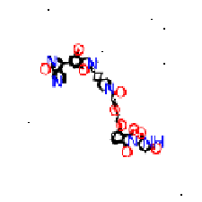 COc1cc(-c2cn(C)c(=O)c3cnccc23)cc(OC)c1CN(C)CC1CC2(CCN(C(=O)CCOCCOc3cccc4c3C(=O)N(C3CCC(=O)NC3=O)C4=O)CC2)C1